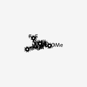 COc1ccc(CN(c2nn(C)c3c(-n4c([C@@H](N)Cc5cc(F)cc(F)c5)nc(OCc5ccccc5)cc4=O)ccc(Cl)c23)S(C)(=O)=O)cc1